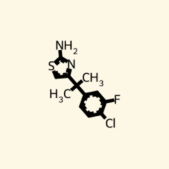 CC(C)(c1ccc(Cl)c(F)c1)c1csc(N)n1